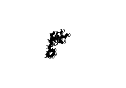 C=CCN(CC)P(=O)(SCC)N(CC)CSCc1ccccc1